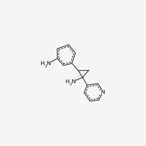 Nc1cccc(C2CC2(N)c2cccnc2)c1